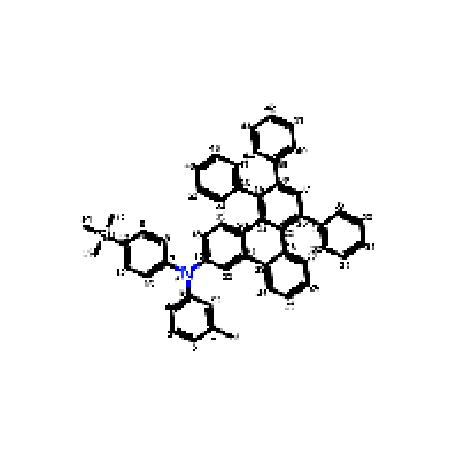 Cc1cccc(N(c2ccc([Si](C)(C)C)cc2)c2ccc3c(c2)c2ccccc2c2c(-c4ccccc4)cc(-c4ccccc4)c(-c4ccccc4)c32)c1